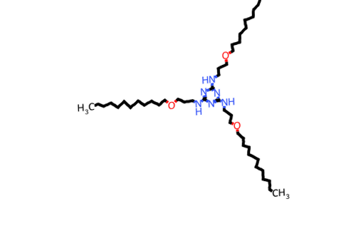 CCCCCCCCCCCCOCCCNc1nc(NCCCOCCCCCCCCCCCC)nc(NCCCOCCCCCCCCCCCC)n1